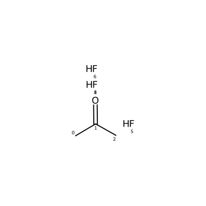 CC(C)=O.F.F.F